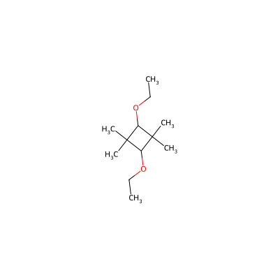 CCOC1C(C)(C)C(OCC)C1(C)C